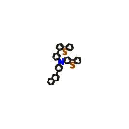 c1cc(-c2cccc3c2sc2ccccc23)cc(N(c2ccc(-c3ccc4ccccc4c3)cc2)c2ccc3c(c2)sc2ccccc23)c1